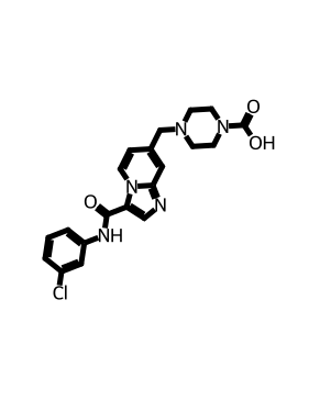 O=C(Nc1cccc(Cl)c1)c1cnc2cc(CN3CCN(C(=O)O)CC3)ccn12